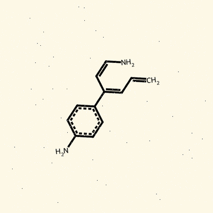 C=C/C=C(\C=C/N)c1ccc(N)cc1